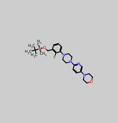 CC(C)(C)[Si](C)(C)OCc1cccc(N2CCN(c3ccc(N4CCOCC4)cn3)CC2)c1F